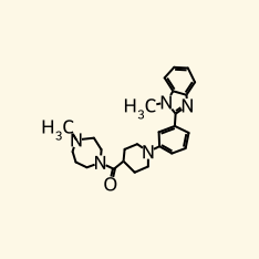 CN1CCCN(C(=O)C2CCN(c3cccc(-c4nc5ccccc5n4C)c3)CC2)CC1